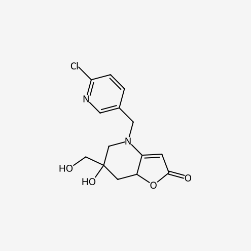 O=C1C=C2C(CC(O)(CO)CN2Cc2ccc(Cl)nc2)O1